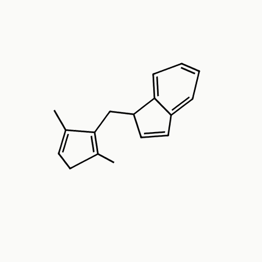 CC1=CCC(C)=C1CC1C=Cc2ccccc21